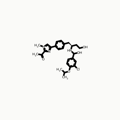 CC(=O)c1nc(-c2ccc(C[C@@H](CCO)NC(O)c3ccc(OC(C)C)c(Cl)c3)cc2)cn1C